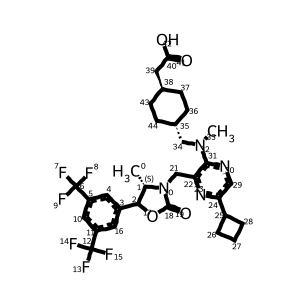 C[C@H]1C(c2cc(C(F)(F)F)cc(C(F)(F)F)c2)OC(=O)N1Cc1nc(C2CCC2)cnc1N(C)C[C@H]1CC[C@H](CC(=O)O)CC1